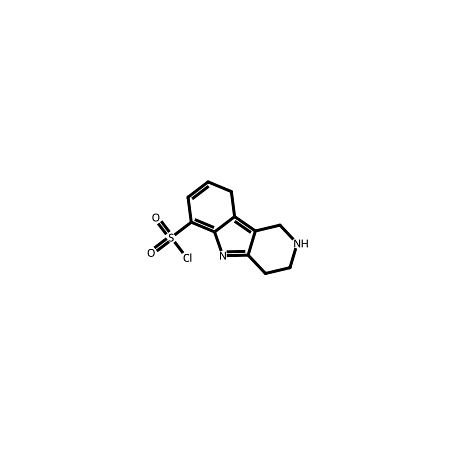 O=S(=O)(Cl)C1=C2N=C3CCNCC3=C2CC=C1